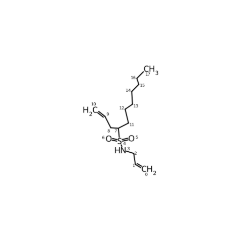 C=CCNS(=O)(=O)C(CC=C)CCCCCCC